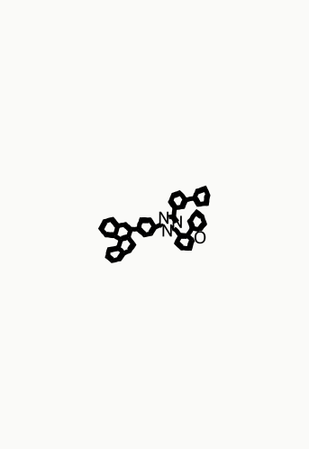 c1ccc(-c2cccc(-c3nc(-c4ccc(-c5cc6ccccc6c6c5ccc5ccccc56)cc4)nc(-c4cccc5oc6ccccc6c45)n3)c2)cc1